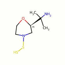 CC(C)(N)[C@H]1CN(SS)CCO1